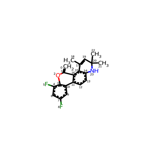 C=C1Oc2c(F)cc(F)cc2-c2ccc3c(c21)C(C)=CC(C)(C)N3